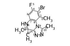 Cc1c(Br)c(F)cc2c1-n1c(C)nnc1C(C)(C)N2